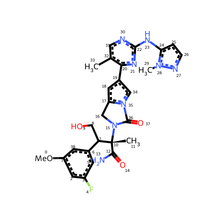 COc1cc(F)cc(C(CO)[C@@](C)(C(N)=O)N2Cc3cc(-c4nc(Nc5ccnn5C)ncc4C)cn3C2=O)c1